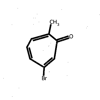 Cc1cccc(Br)cc1=O